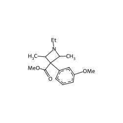 CCN1C(C)C(C(=O)OC)(c2cccc(OC)c2)C1C